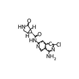 Nc1nc(Cl)cc2cc(NC(=O)[C@H]3[C@@H]4CNC(=O)[C@@H]43)ncc12